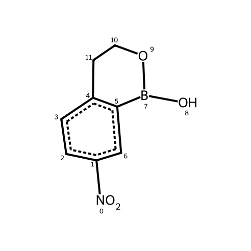 O=[N+]([O-])c1ccc2c(c1)B(O)OCC2